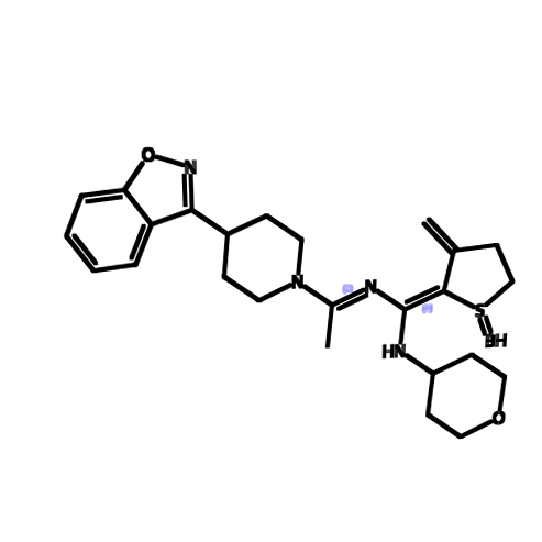 B=S1CCC(=C)/C1=C(\N=C(/C)N1CCC(c2noc3ccccc23)CC1)NC1CCOCC1